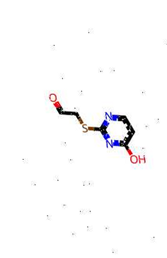 O=CCSc1nccc(O)n1